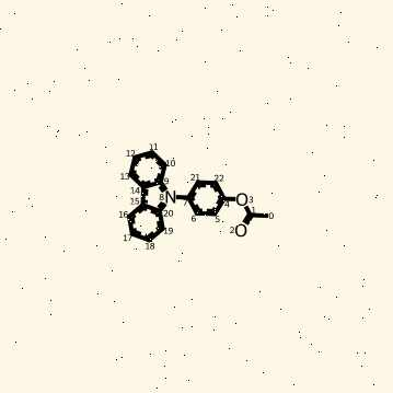 CC(=O)Oc1ccc(-n2c3ccccc3c3ccccc32)cc1